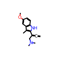 C=C=C(CN(C)C)c1[nH]c2ccc(OC)cc2c1C